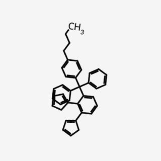 CCCCc1ccc(C(c2ccccc2)(c2ccccc2)c2cccc(C3=CC=CC3)c2C2=CC=CC2)cc1